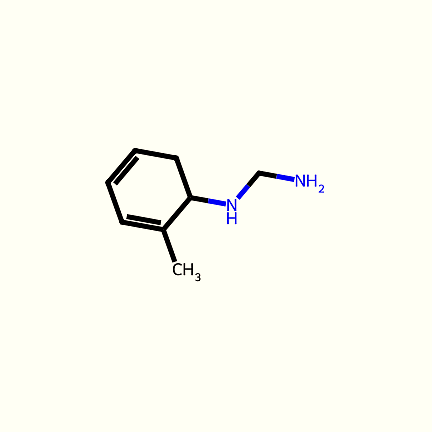 CC1=CC=CCC1NCN